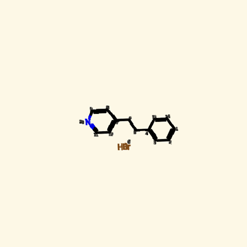 Br.c1ccc(CCc2ccncc2)cc1